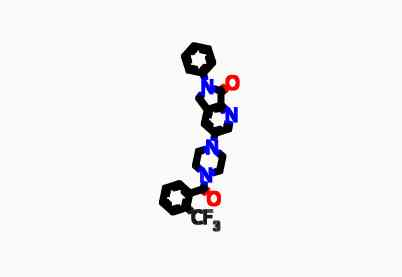 O=C(c1ccccc1C(F)(F)F)N1CCN(c2cnc3c(c2)CN(c2ccccc2)C3=O)CC1